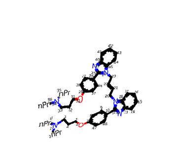 CCCN(CCC)CCCOc1ccc(-c2nc3ccccc3n2CC=CCn2c(-c3ccc(OCCCN(CCC)CCC)cc3)nc3ccccc32)cc1